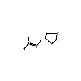 C1CCCC1.CC=C(C)C